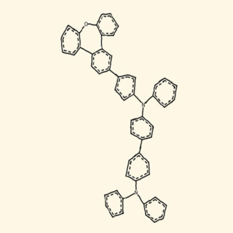 c1ccc(N(c2ccccc2)c2ccc(-c3ccc(N(c4ccccc4)c4ccc(-c5ccc6c(c5)-c5ccccc5Oc5ccccc5-6)cc4)cc3)cc2)cc1